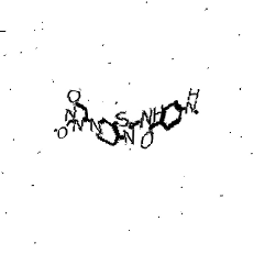 CNc1ccc(C(=O)Nc2nc3c(s2)CN(c2cc(OC)nc(OC)n2)CC3)cc1